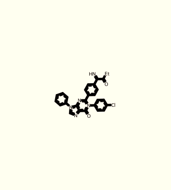 CCC(=O)C(=N)c1ccc(-c2nc3c(ncn3-c3ccccc3)c(=O)n2-c2ccc(Cl)cc2)cc1